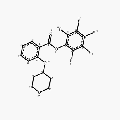 O=C(Oc1c(F)c(F)c(F)c(F)c1F)c1ccccc1OC1CCOCC1